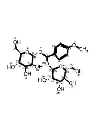 COc1ccc(C(O[C@H]2O[C@H](CO)[C@@H](O)[C@H](O)[C@@H]2O)O[C@H]2O[C@H](CO)[C@@H](O)[C@H](O)[C@@H]2O)cc1